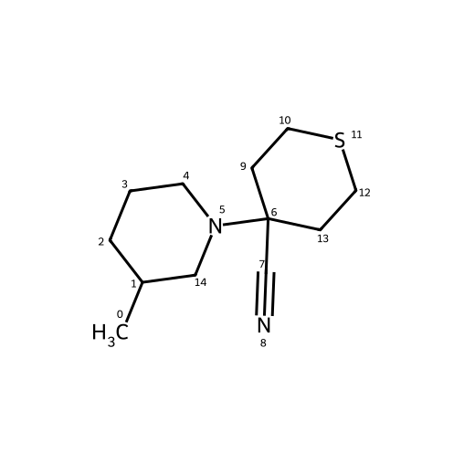 CC1CCCN(C2(C#N)CCSCC2)C1